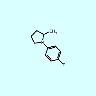 CC1CCCN1c1ccc(F)cc1